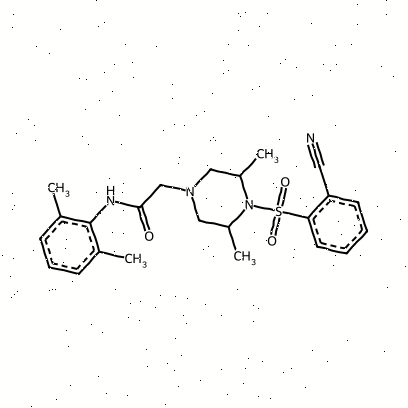 Cc1cccc(C)c1NC(=O)CN1CC(C)N(S(=O)(=O)c2ccccc2C#N)C(C)C1